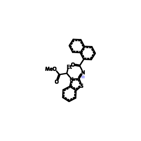 CCC(C(=O)OC)n1/c(=N\C(=O)c2cccc3ccccc23)sc2ccccc21